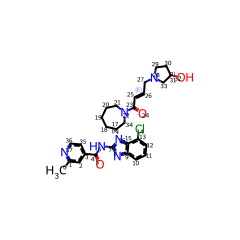 Cc1cc(C(=O)Nc2nc3cccc(Cl)c3n2[C@@H]2CCCCN(C(=O)/C=C/CN3CC[C@@H](O)C3)C2)ccn1